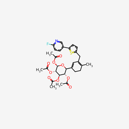 CC(=O)O[C@H]1OC(C2=CC(Cc3ccc(-c4ccc(F)nc4)s3)=C(C)CC2)[C@H](OC(C)=O)[C@@H](OC(C)=O)[C@@H]1OC(C)=O